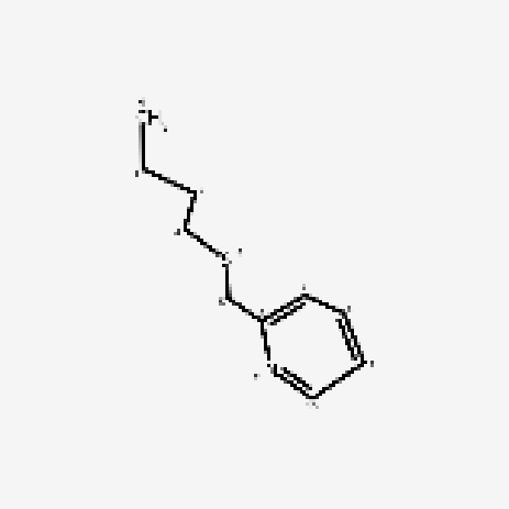 CCCCSCc1ccccn1